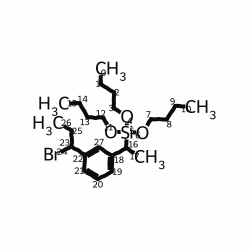 CCCCO[Si](OCCCC)(OCCCC)C(C)c1cccc(C(Br)CC)c1